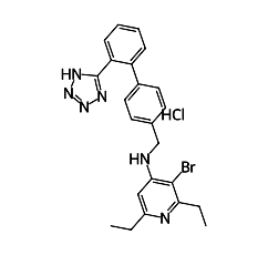 CCc1cc(NCc2ccc(-c3ccccc3-c3nnn[nH]3)cc2)c(Br)c(CC)n1.Cl